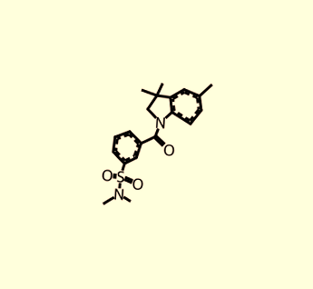 Cc1ccc2c(c1)C(C)(C)CN2C(=O)c1cccc(S(=O)(=O)N(C)C)c1